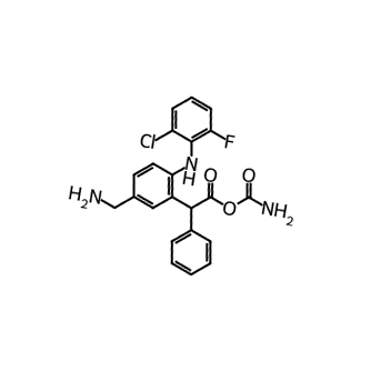 NCc1ccc(Nc2c(F)cccc2Cl)c(C(C(=O)OC(N)=O)c2ccccc2)c1